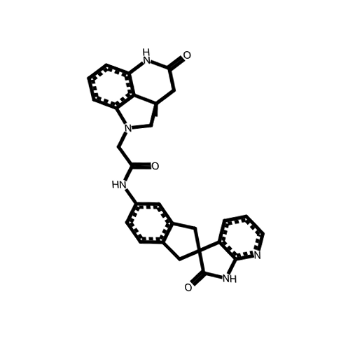 CC12CC(=O)Nc3cccc(c31)N(CC(=O)Nc1ccc3c(c1)CC1(C3)C(=O)Nc3ncccc31)C2